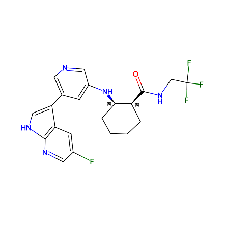 O=C(NCC(F)(F)F)[C@H]1CCCC[C@H]1Nc1cncc(-c2c[nH]c3ncc(F)cc23)c1